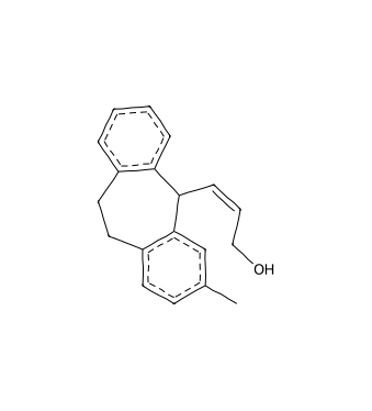 Cc1ccc2c(c1)C(/C=C\CO)c1ccccc1CC2